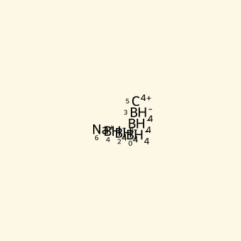 [BH4-].[BH4-].[BH4-].[BH4-].[BH4-].[C+4].[Na+]